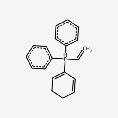 C=C[PH](C1=CCCC=C1)(c1ccccc1)c1ccccc1